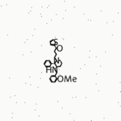 COc1ccccc1CN[C@@H]1CCCN(CCCC(=O)c2cccs2)[C@@H]1c1ccccc1